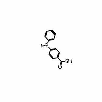 O=C(S)c1ccc(P(I)c2cc#ccc2)cc1